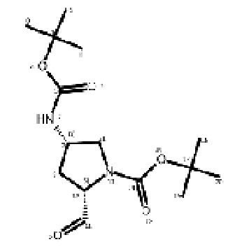 CC(C)(C)OC(=O)N[C@H]1C[C@@H](C=O)N(C(=O)OC(C)(C)C)C1